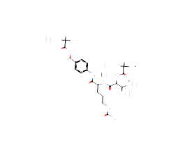 CC(C)C(NC(=O)C(C)(C)C)C(=O)NC(CCCNC(N)=O)C(=O)Nc1ccc(COC(=O)C(C)(C)C)cc1